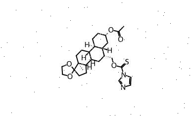 CC(=O)O[C@H]1CC[C@@H]2[C@H]3CC[C@@]4(C)[C@@H](CCC45OCCO5)[C@@H]3C[C@@H](COC(=S)n3ccnc3)[C@H]2C1